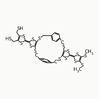 CSC1=C(SC)SC(=C2SC3=C(SCc4ccc(cc4)CSC4=C(SCc5ccc(cc5)CS3)SC(=C3SC(CS)=C(CS)S3)S4)S2)S1